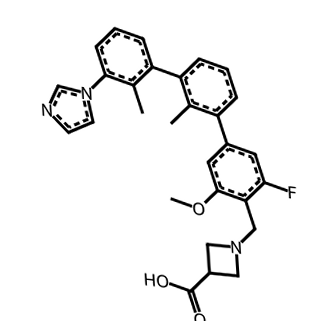 COc1cc(-c2cccc(-c3cccc(-n4ccnc4)c3C)c2C)cc(F)c1CN1CC(C(=O)O)C1